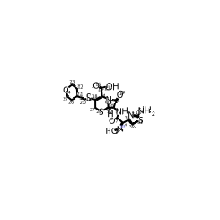 Nc1nc(/C(=N/O)C(=O)NC2C(=O)N3C(C(=O)O)=C(SCC4CCOCC4)CS[C@@H]23)cs1